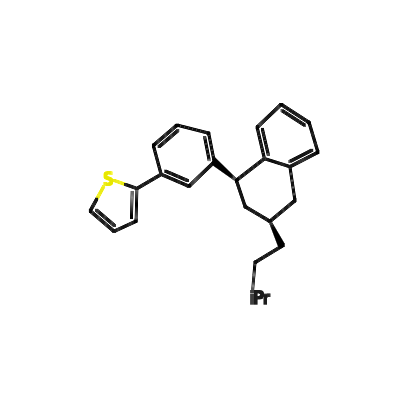 CC(C)CC[C@@H]1Cc2ccccc2[C@H](c2cccc(-c3cccs3)c2)C1